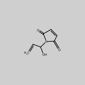 C=CC(O)N1C(=O)C=CC1=O